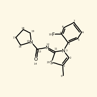 Cc1cn(-c2ccccc2F)c(=NC(=O)N2CCCC2)s1